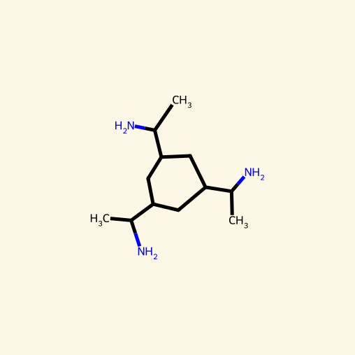 CC(N)C1CC(C(C)N)CC(C(C)N)C1